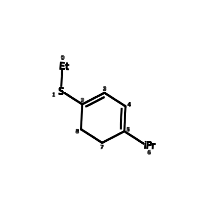 CCSC1=CC=C(C(C)C)CC1